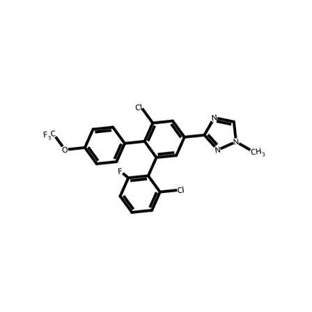 Cn1cnc(-c2cc(Cl)c(-c3ccc(OC(F)(F)F)cc3)c(-c3c(F)cccc3Cl)c2)n1